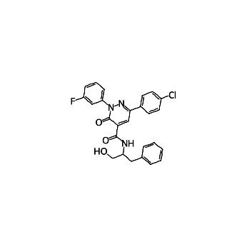 O=C(NC(CO)Cc1ccccc1)c1cc(-c2ccc(Cl)cc2)nn(-c2cccc(F)c2)c1=O